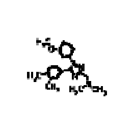 COc1cccc(-n2nc(CN(C)C)nc2-c2ccc(C)c(C)c2)c1